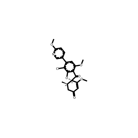 COC1=CC(=O)C[C@@H](C)[C@]12Oc1c(Cl)c(-c3ccc(OC)nc3)cc(OC)c1C2=O